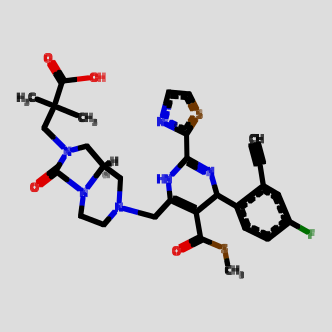 C#Cc1cc(F)ccc1C1N=C(c2nccs2)NC(CN2CCN3C(=O)N(CC(C)(C)C(=O)O)C[C@@H]3C2)=C1C(=O)SC